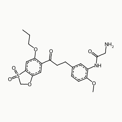 CCCOc1cc2c(cc1C(=O)CCc1ccc(OC)c(NC(=O)CN)c1)OCS2(=O)=O